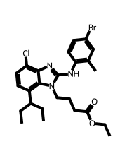 CCOC(=O)CCCn1c(Nc2ccc(Br)cc2C)nc2c(Cl)ccc(C(CC)CC)c21